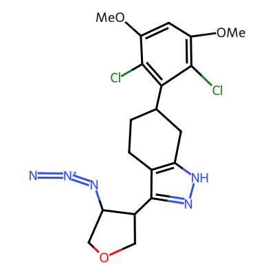 COc1cc(OC)c(Cl)c(C2CCc3c(C4COCC4N=[N+]=[N-])n[nH]c3C2)c1Cl